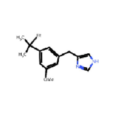 CCC(C)(C)c1cc(Cc2c[nH]cn2)cc(OC)c1